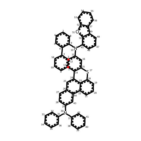 c1ccc(-c2ccccc2N(c2ccc3c(c2)Sc2cccc4c2c-3cc2ccc(N(c3ccccc3)c3ccccc3)cc24)c2cccc3c2oc2ccccc23)cc1